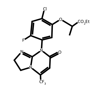 CCOC(=O)C(C)Oc1cc(N2C(=O)C=C(C(F)(F)F)N3CCN=C32)c(F)cc1Cl